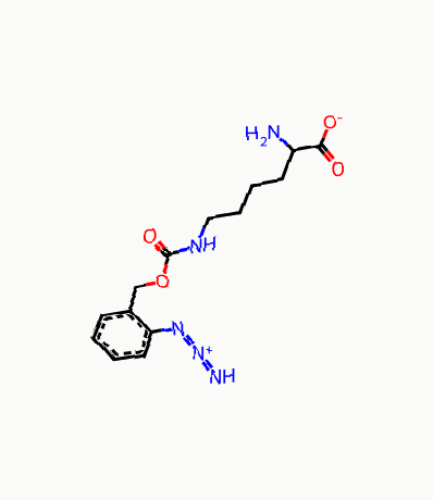 N=[N+]=Nc1ccccc1COC(=O)NCCCCC(N)C(=O)[O-]